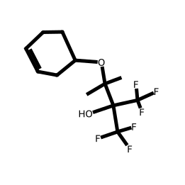 CC(C)(OC1CC=CCC1)C(O)(C(F)(F)F)C(F)(F)F